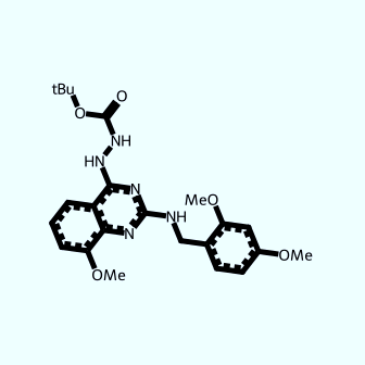 COc1ccc(CNc2nc(NNC(=O)OC(C)(C)C)c3cccc(OC)c3n2)c(OC)c1